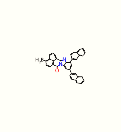 Bc1ccc2c(=O)n3c4cc(-c5ccc6ccccc6c5)cc(-c5ccc6ccccc6c5)c4nc3c3cccc1c23